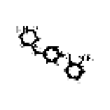 FC(F)(F)c1ccccc1Oc1ccc(CC2CCNCC2)cc1